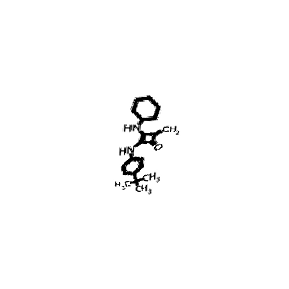 C=C1C(=O)C(Nc2ccc(C(C)(C)C)cc2)=C1NC1CCCCC1